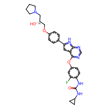 O=C(Nc1ccc(Oc2ncnc3[nH]c(-c4ccc(OC[C@H](O)CN5CCCC5)cc4)cc23)cc1F)NC1CC1